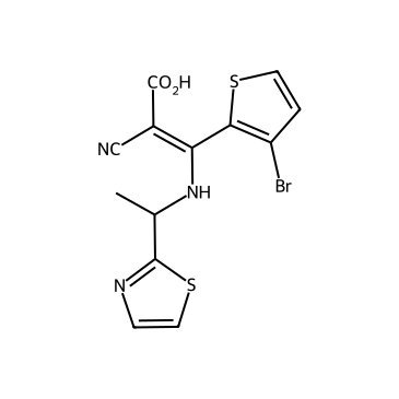 CC(NC(=C(C#N)C(=O)O)c1sccc1Br)c1nccs1